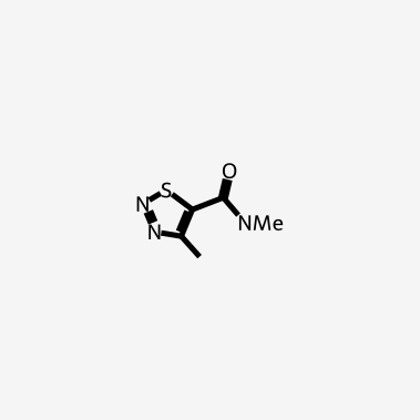 CNC(=O)c1snnc1C